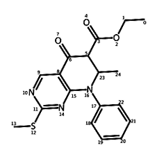 CCOC(=O)C1C(=O)c2cnc(SC)nc2N(c2ccccc2)C1C